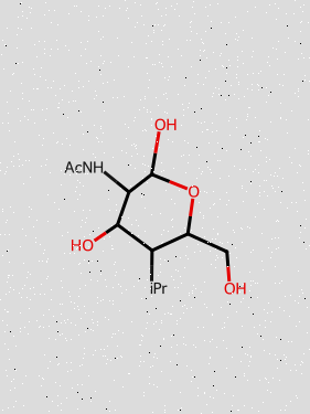 CC(=O)NC1C(O)OC(CO)C(C(C)C)C1O